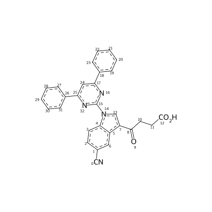 N#Cc1ccc2c(c1)c(C(=O)CCC(=O)O)cn2-c1nc(-c2ccccc2)cc(-c2ccccc2)n1